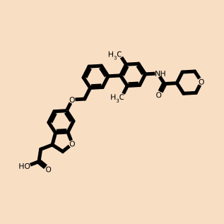 Cc1cc(NC(=O)C2CCOCC2)cc(C)c1-c1cccc(COc2ccc3c(c2)OCC3CC(=O)O)c1